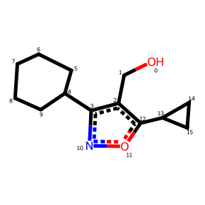 OCc1c(C2CCCCC2)noc1C1CC1